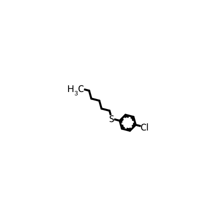 CCCCCCSc1ccc(Cl)cc1